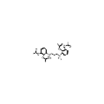 CC(=O)Oc1cccc([SiH2]CCC[SiH2]c2cccc(OC(C)=O)c2OC(C)=O)c1OC(C)=O